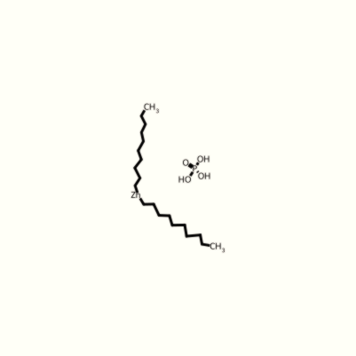 CCCCCCCCC[CH2][Zn][CH2]CCCCCCCCC.O=P(O)(O)O